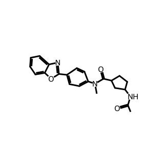 CC(=O)NC1CCC(C(=O)N(C)c2ccc(-c3nc4ccccc4o3)cc2)C1